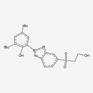 CC(C)(C)c1cc(-n2nc3ccc(S(=O)(=O)CCO)cc3n2)c(O)c(C(C)(C)C)c1